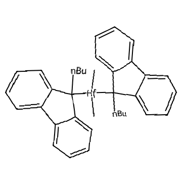 CCCC[C]1([Hf]([CH3])([CH3])[C]2(CCCC)c3ccccc3-c3ccccc32)c2ccccc2-c2ccccc21